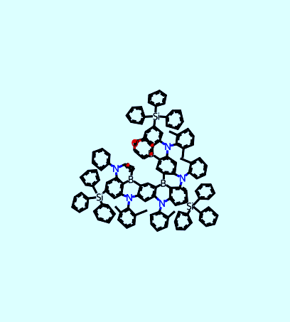 Cc1ccccc1N1c2cc3c(cc2B2c4cc5c(cc4N(c4ccccc4C)c4cc([Si](c6ccccc6)(c6ccccc6)c6ccccc6)cc1c42)N(c1c(C)cccc1C)c1cc([Si](c2ccccc2)(c2ccccc2)c2ccccc2)cc2c1B5c1ccccc1N2c1ccccc1)B1c2ccccc2Oc2cc([Si](c4ccccc4)(c4ccccc4)c4ccccc4)cc(c21)N3c1c(C)cccc1C